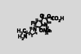 COc1c(N2CC[C@@H](C(C)N)C2)c(F)cc2c(=O)c(OC(=O)O)cn(C3CC3)c12